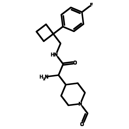 NC(C(=O)NCC1(c2ccc(F)cc2)CCC1)C1CCN(C=O)CC1